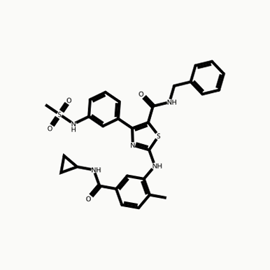 Cc1ccc(C(=O)NC2CC2)cc1Nc1nc(-c2cccc(NS(C)(=O)=O)c2)c(C(=O)NCc2ccccc2)s1